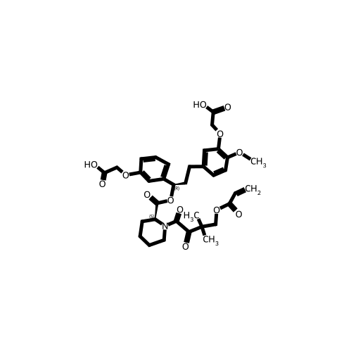 C=CC(=O)OCC(C)(C)C(=O)C(=O)N1CCCC[C@H]1C(=O)O[C@H](CCc1ccc(OC)c(OCC(=O)O)c1)c1cccc(OCC(=O)O)c1